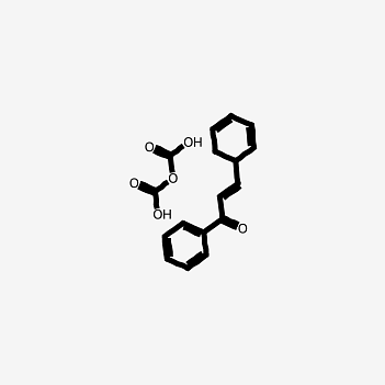 O=C(C=CC1C=CC=CC1)c1ccccc1.O=C(O)OC(=O)O